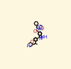 CC1=CC2(CCN(C)CC2)Oc2ccc(-c3n[nH]c4ccc(C(=O)NCC5(N6CCOCC6)CCCCC5)cc34)cc21